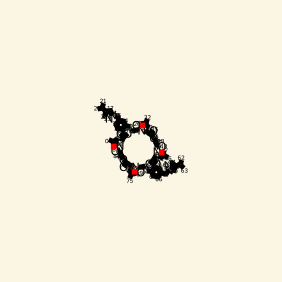 CC(C)C[C@H]1C(=O)O[C@H](Cc2cccc(Cn3cc(C(C)C)cn3)c2)C(=O)N(C)[C@@H](CC(C)C)C(=O)O[C@H](C)C(=O)N(C)[C@@H](CC(C)C)C(=O)O[C@H](Cc2ccc(Cn3cc(C(C)C)cn3)cc2)C(=O)N(C)[C@@H](CC(C)C)C(=O)O[C@H](C)C(=O)N1C